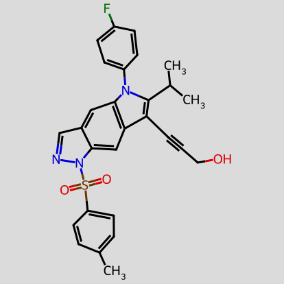 Cc1ccc(S(=O)(=O)n2ncc3cc4c(cc32)c(C#CCO)c(C(C)C)n4-c2ccc(F)cc2)cc1